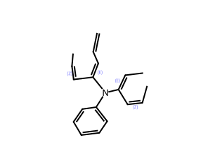 C=C/C=C(\C=C/C)N(C(/C=C\C)=C/C)c1ccccc1